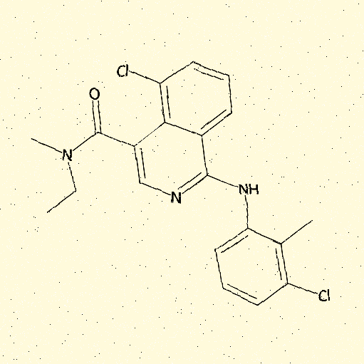 CCN(C)C(=O)c1cnc(Nc2cccc(Cl)c2C)c2cccc(Cl)c12